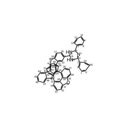 c1ccc(C2=NC(c3ccccc3)NC(c3ccc4sc5cccc(-c6cccc7oc8cccc(-n9c%10ccccc%10c%10ccccc%109)c8c67)c5c4c3)N2)cc1